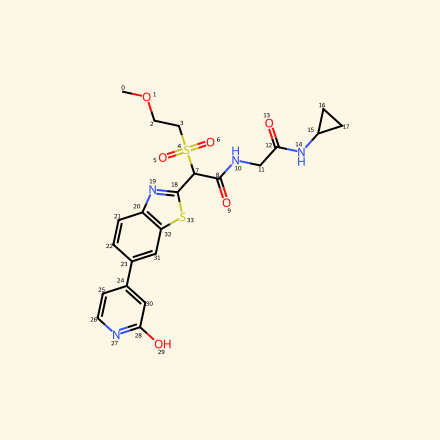 COCCS(=O)(=O)C(C(=O)NCC(=O)NC1CC1)c1nc2ccc(-c3ccnc(O)c3)cc2s1